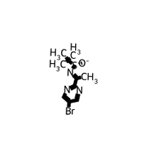 CC(=N[S+]([O-])C(C)(C)C)c1ncc(Br)cn1